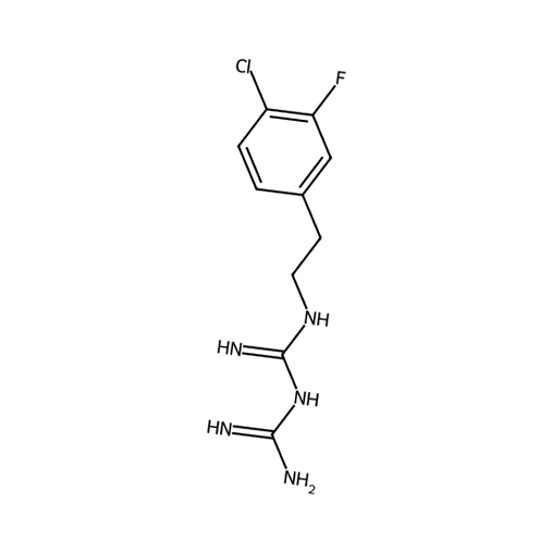 N=C(N)NC(=N)NCCc1ccc(Cl)c(F)c1